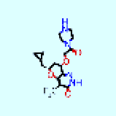 O=C(CO[C@@H]1C[C@@H](CC2CC2)Oc2c1n[nH]c(=O)c2C(F)(F)F)N1CCNCC1